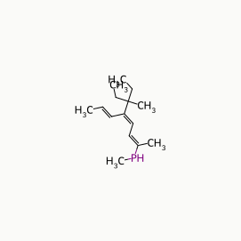 C/C=C/C(=C\C=C(/C)PC)C(C)(CC)CC